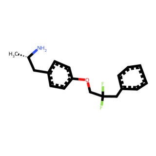 C[C@H](N)Cc1ccc(OCC(F)(F)Cc2ccccc2)cc1